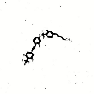 CCCCCc1ccc(C(F)(F)Oc2ccc(C#Cc3cc(F)c(C(F)(F)F)c(F)c3)c(F)c2)c(F)c1